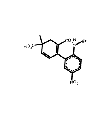 CC(C)Oc1ccc([N+](=O)[O-])cc1C1=C(C(=O)O)CC(C)(C(=O)O)C=C1